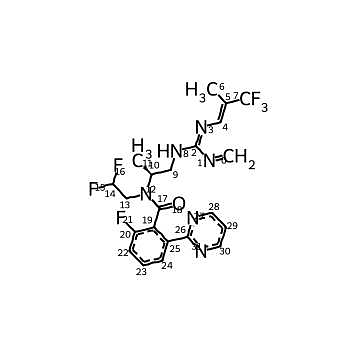 C=N/C(=N\C=C(/C)C(F)(F)F)NC[C@H](C)N(CC(F)F)C(=O)c1c(F)cccc1-c1ncccn1